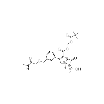 CNC(=O)COCc1cccc(C2=C(C(=O)OCOC(=O)C(C)(C)C)N3C(=O)[C@H]([C@@H](C)O)[C@H]3C2)c1